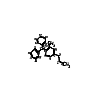 CCCc1ccc([S+](c2ccccc2)c2ccccc2)c(C)c1